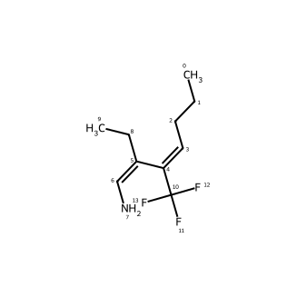 CCC/C=C(\C(=C/N)CC)C(F)(F)F